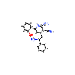 N#Cc1c(CC(N)c2ccccc2)cc(-c2ccccc2O)nc1N